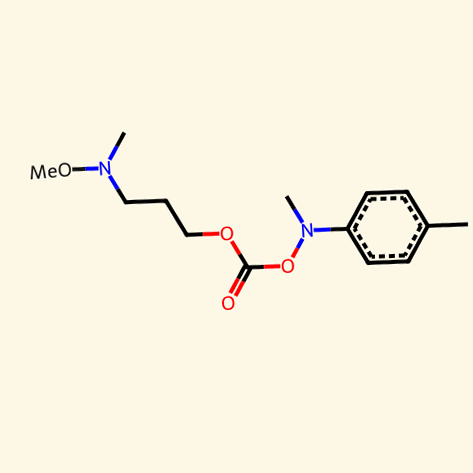 CON(C)CCCOC(=O)ON(C)c1ccc(C)cc1